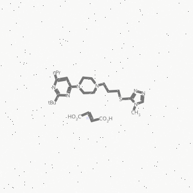 CCCc1cc(N2CCN(CCCSc3nncn3C)CC2)nc(C(C)(C)C)n1.O=C(O)/C=C/C(=O)O